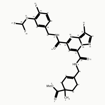 COC(=O)C1(C)CC=C(CNC(=O)c2cc(C(=O)NCc3ccc(F)c(OC(F)F)c3)nc3c(F)cnn23)CC1